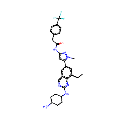 CCc1cc(-c2cc(NC(=O)Cc3ccc(C(F)(F)F)cc3)nn2C)cc2cnc(NC3CCC(N)CC3)nc12